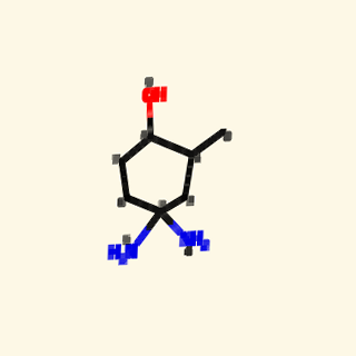 CC1CC(N)(N)CCC1O